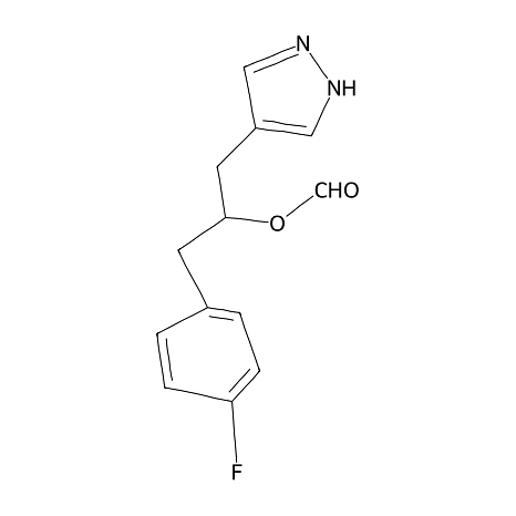 O=COC(Cc1ccc(F)cc1)Cc1cn[nH]c1